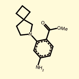 COC(=O)c1ccc(N)cc1N1CCC2(CCC2)C1